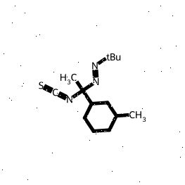 CC1CCCC(C(C)(N=C=S)/N=N/C(C)(C)C)C1